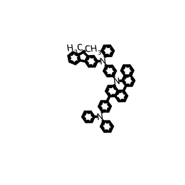 CC1(C)c2ccccc2-c2ccc(N(c3ccccc3)c3ccc(N4c5c(ccc6ccccc56)-c5cccc6c(-c7ccc(N(c8ccccc8)c8ccccc8)cc7)ccc4c56)cc3)cc21